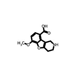 COc1ccc(C(=O)O)c2c3c(oc12)CCNC3